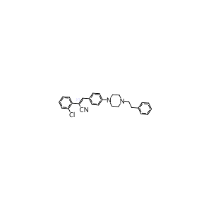 N#C/C(=C\c1ccc(N2CCN(CCc3ccccc3)CC2)cc1)c1ccccc1Cl